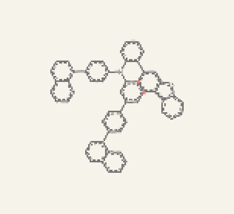 c1cc(-c2ccc(-c3cccc4ccccc34)cc2)cc(N(c2ccc(-c3cccc4ccccc34)cc2)c2ccccc2-c2ccc3c(c2)sc2ccccc23)c1